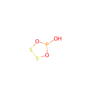 Op1osso1